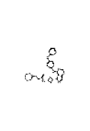 O=C(CCN1CCCCC1)N[C@H]1C[C@H](n2ncc3ncnc(Oc4ccc(Oc5ccccc5)cc4)c32)C1